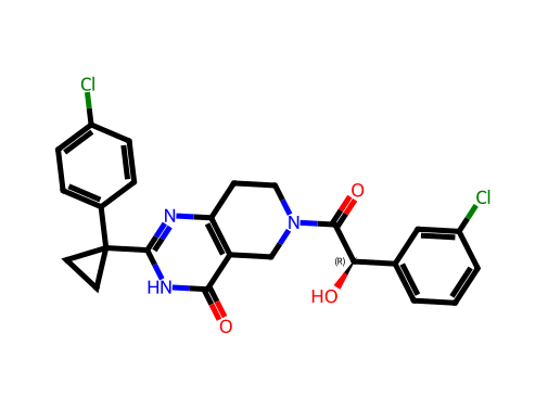 O=C([C@H](O)c1cccc(Cl)c1)N1CCc2nc(C3(c4ccc(Cl)cc4)CC3)[nH]c(=O)c2C1